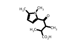 Cc1ccc(C(=O)C(C)C(C)C(=O)O)n1C